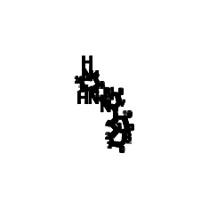 c1ccc2cc(-c3ccnc(NC4CCNCC4)n3)ccc2c1